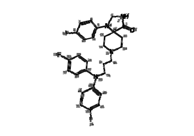 O=C1NCN(c2ccc(F)cc2)C12CCN(CCCN(c1ccc(F)cc1)c1ccc(F)cc1)CC2